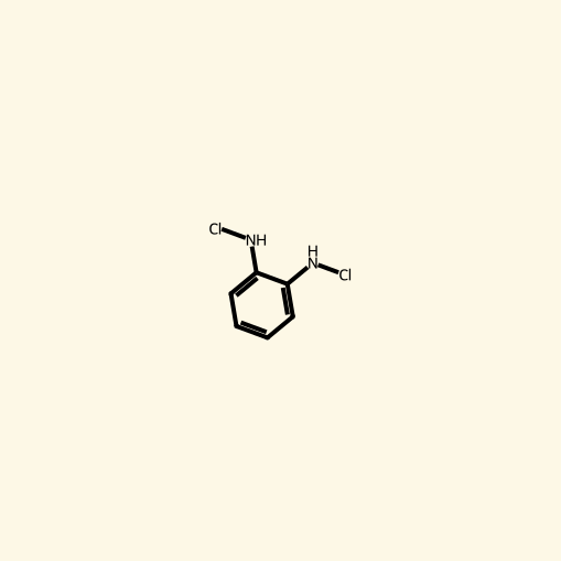 ClNc1ccccc1NCl